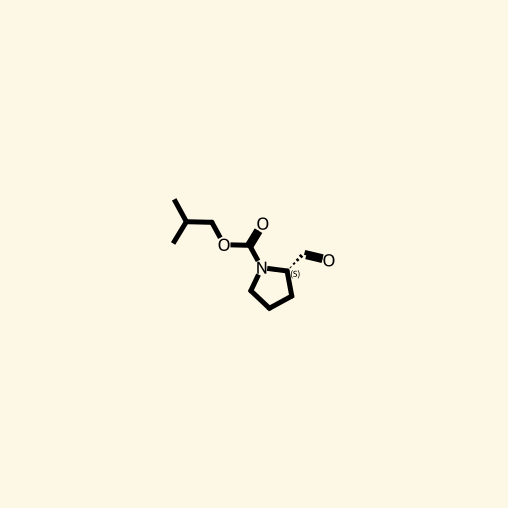 CC(C)COC(=O)N1CCC[C@H]1C=O